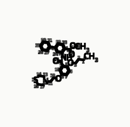 CCCCOc1ccc(OCCN2CCSCC2)cc1C(=O)Nc1cc(-c2ccccc2)ccc1C(=O)OC